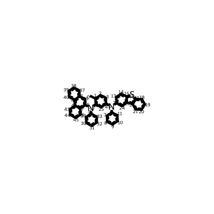 Cc1ccc(N(c2ccccc2)c2ccc3sc4ccccc4c3c2)cc1N(c1ccccc1)c1cc2ccccc2c2ccccc12